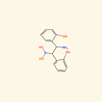 NC(c1ccccc1O)C(c1ccccc1O)N(O)O